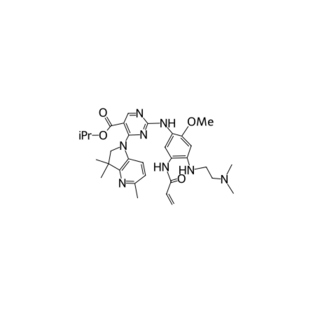 C=CC(=O)Nc1cc(Nc2ncc(C(=O)OC(C)C)c(N3CC(C)(C)c4nc(C)ccc43)n2)c(OC)cc1NCCN(C)C